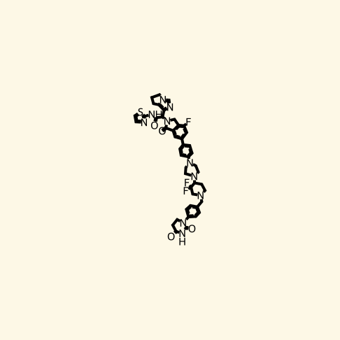 O=C1CCN(c2ccc(CN3CCC(N4CCN(c5ccc(-c6cc(F)c7c(c6)C(=O)N(C(C(=O)Nc6nccs6)c6ncn8c6CCC8)C7)cc5)CC4)C(F)(F)C3)cc2)C(=O)N1